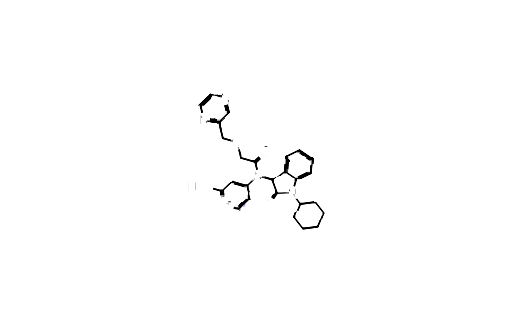 C=C(C)/C=C(\C=C/C)N(C(=O)COCc1cnccn1)C1C(=O)N(C2CCCCC2)c2ccccc21